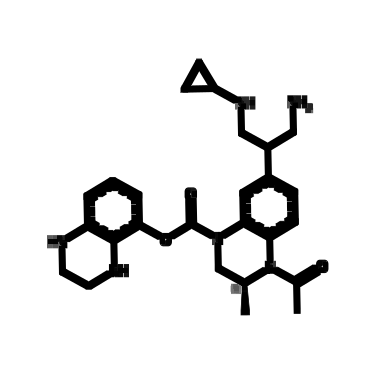 CC(=O)N1c2ccc(C(CN)CNC3CC3)cc2N(C(=O)Oc2cccc3c2NCCN3)C[C@@H]1C